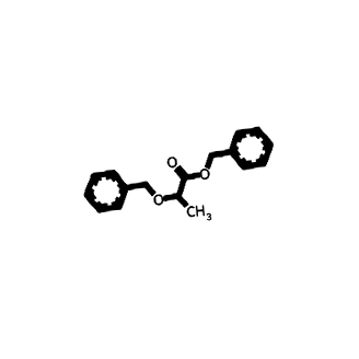 CC(OCc1ccccc1)C(=O)OCc1ccccc1